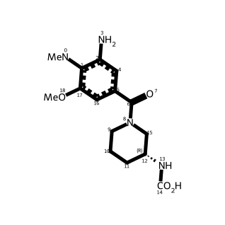 CNc1c(N)cc(C(=O)N2CCC[C@@H](NC(=O)O)C2)cc1OC